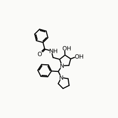 O=C(NCC1C(O)C(O)CN1C(c1ccccc1)N1CCCC1)c1ccccc1